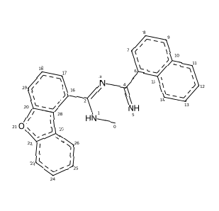 CN/C(=N\C(=N)c1cccc2ccccc12)c1cccc2oc3ccccc3c12